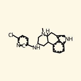 CN1C[C@@H](Nc2ccc(Cl)nc2)CC2c3cccc4[nH]cc(c34)C[C@H]21